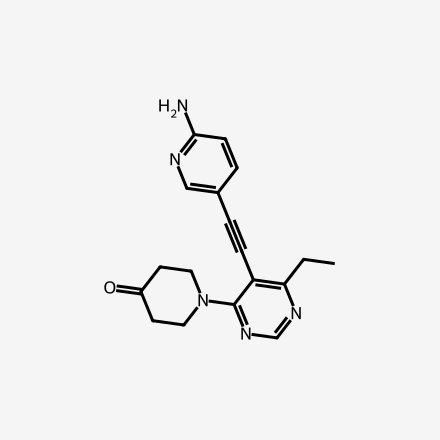 CCc1ncnc(N2CCC(=O)CC2)c1C#Cc1ccc(N)nc1